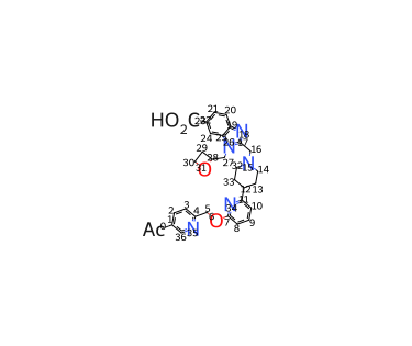 CC(=O)c1ccc(COc2cccc(C3CCN(Cc4nc5ccc(C(=O)O)cc5n4CC4CCO4)CC3)n2)nc1